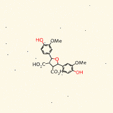 COc1cc(C2OC(c3ccc(O)c(OC)c3)C(C(=O)O)C2C(=O)O)ccc1O